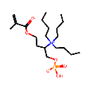 C=C(C)C(=O)OCCC(COP(=O)([O-])O)[N+](CCCC)(CCCC)CCCC